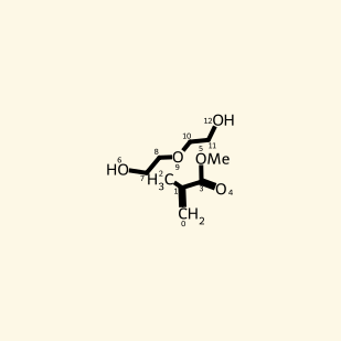 C=C(C)C(=O)OC.OCCOCCO